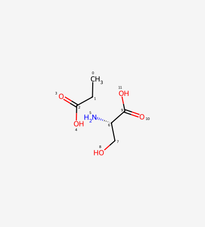 CCC(=O)O.N[C@@H](CO)C(=O)O